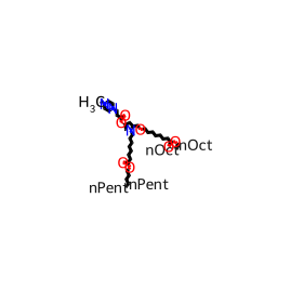 CCCCCCCCC(CCCCCCCC)OC(=O)CCCCCCCOCC1C[C@H](OC(=O)CCN2CCN(C)CC2)CN1CCCCCCCC(=O)OCCCC(CCCCC)CCCCC